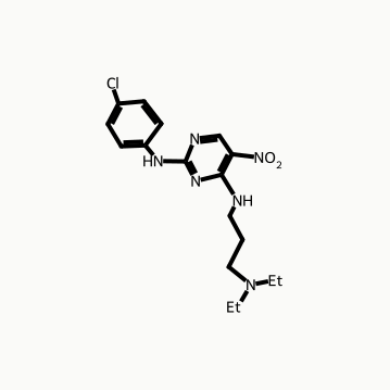 CCN(CC)CCCNc1nc(Nc2ccc(Cl)cc2)ncc1[N+](=O)[O-]